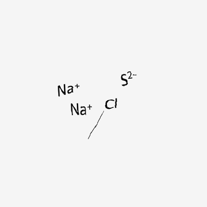 CCl.[Na+].[Na+].[S-2]